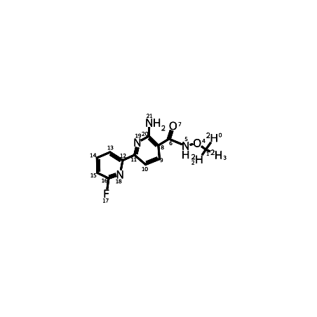 [2H]C([2H])([2H])ONC(=O)c1ccc(-c2cccc(F)n2)nc1N